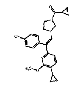 COc1nc(C(=C[C@H]2CCN(C(=O)C3CC3)C2)c2ccc(Cl)cc2)ccc1C1CC1